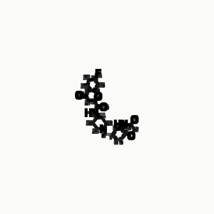 O=C1COc2ccc(CN3CCC(NC(=O)c4cc(=O)c5ccc(F)cc5o4)CC3)cc2N1